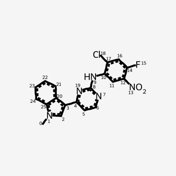 Cn1cc(-c2ccnc(Nc3cc([N+](=O)[O-])c(F)cc3Cl)n2)c2ccccc21